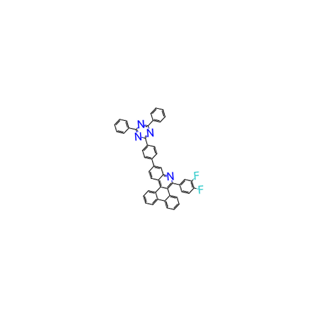 Fc1ccc(-c2nc3cc(-c4ccc(-c5nc(-c6ccccc6)nc(-c6ccccc6)n5)cc4)ccc3c3c4ccccc4c4ccccc4c23)cc1F